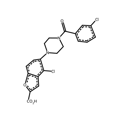 O=C(O)c1cc2c(Cl)c(N3CCN(C(=O)c4cccc(Cl)c4)CC3)ccc2o1